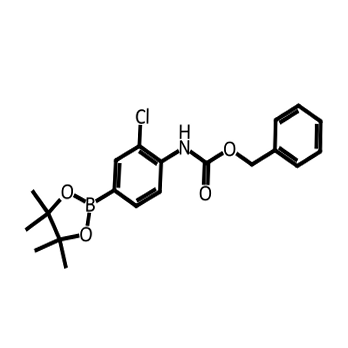 CC1(C)OB(c2ccc(NC(=O)OCc3ccccc3)c(Cl)c2)OC1(C)C